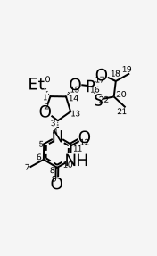 CC[C@H]1O[C@@H](n2cc(C)c(=O)[nH]c2=O)C[C@H]1OP1OC(C)C(C)S1